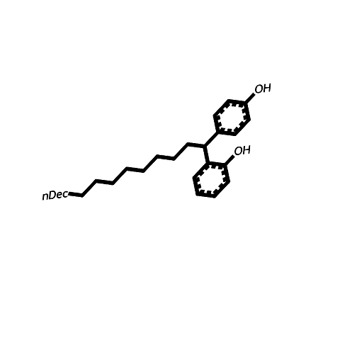 CCCCCCCCCCCCCCCCCCC(c1ccc(O)cc1)c1ccccc1O